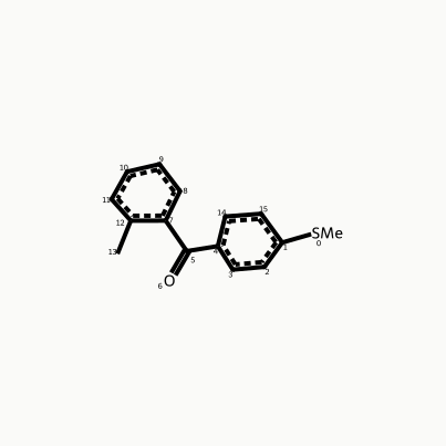 CSc1ccc(C(=O)c2ccccc2C)cc1